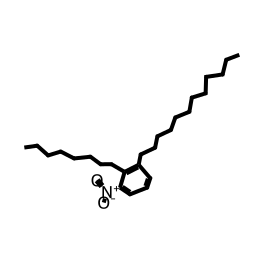 CCCCCCCCCCCCc1cccc([N+](=O)[O-])c1CCCCCCCC